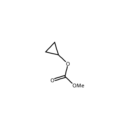 [CH2]OC(=O)OC1CC1